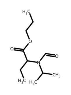 CCCOC(=O)C(CC)N(C=O)C(C)C